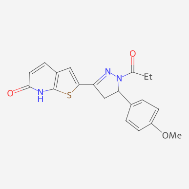 CCC(=O)N1N=C(c2cc3ccc(=O)[nH]c3s2)CC1c1ccc(OC)cc1